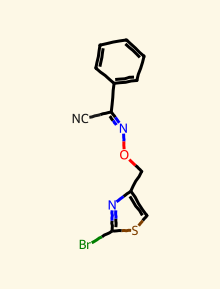 N#CC(=NOCc1csc(Br)n1)c1ccccc1